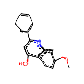 COc1ccc2c(O)cc(C3=CC=CCC3)nc2c1